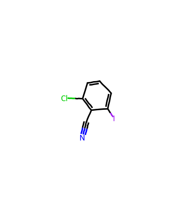 N#Cc1c(Cl)cccc1I